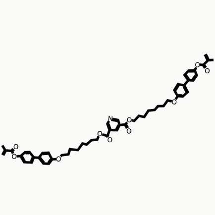 C=C(C)C(=O)Oc1ccc(-c2ccc(OCCCCCCCCOC(=O)c3cncc(C(=O)OCCCCCCCCOc4ccc(-c5ccc(OC(=O)C(=C)C)cc5)cc4)c3)cc2)cc1